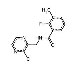 Cc1cccc(C(=O)NCc2nccnc2Cl)c1F